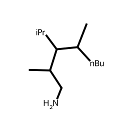 CCCCC(C)C(C(C)C)C(C)CN